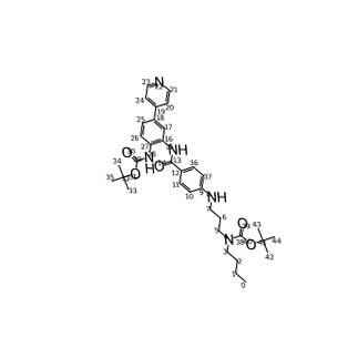 CCCCN(CCCNc1ccc(C(=O)Nc2cc(-c3ccncc3)ccc2NC(=O)OC(C)(C)C)cc1)C(=O)OC(C)(C)C